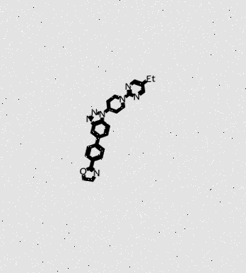 CCc1cnc(N2CCC(n3nnc4cc(-c5ccc(C6=NCCO6)cc5)ccc43)CC2)nc1